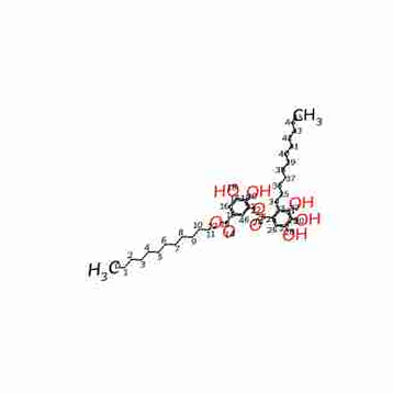 CCCCCCCCCCCCOC(=O)c1cc(O)c(O)c(OC(=O)c2cc(O)c(O)c(O)c2CCCCCCCCCCCC)c1